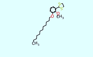 CCCCCCCCCCCCOc1cccc(C2SCCS2)c1OC